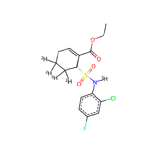 [2H]N(c1ccc(F)cc1Cl)S(=O)(=O)[C@H]1C(C(=O)OCC)=CCC([2H])([2H])C1([2H])[2H]